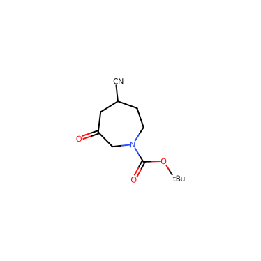 CC(C)(C)OC(=O)N1CCC(C#N)CC(=O)C1